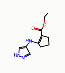 CCOC(=O)C1=C(Nc2cn[nH]c2)CCC1